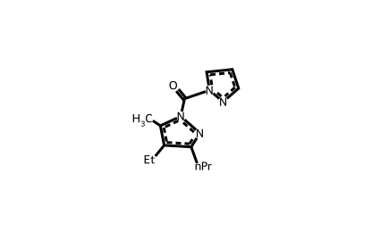 CCCc1nn(C(=O)n2cccn2)c(C)c1CC